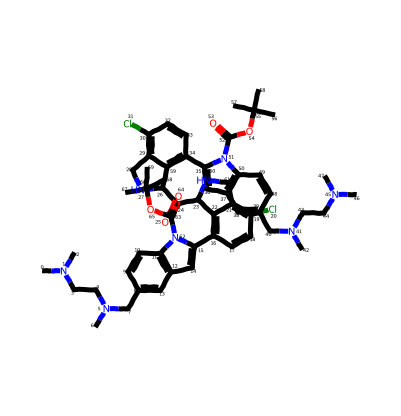 CN(C)CCN(C)Cc1ccc2c(c1)cc(-c1ccc(Cl)c3c1C(C(=O)C1NCc4c(Cl)ccc(-c5cc6cc(CN(C)CCN(C)C)ccc6n5C(=O)OC(C)(C)C)c41)NC3)n2C(=O)OC(C)(C)C